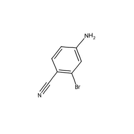 N#Cc1ccc(N)cc1Br